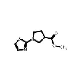 COC(=O)C1CCN(c2nccs2)C1